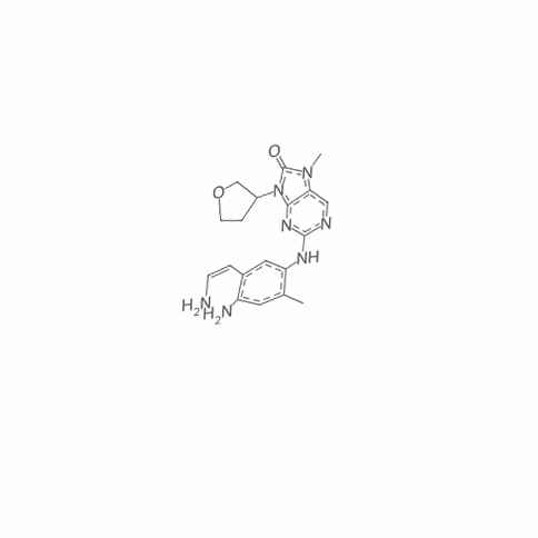 Cc1cc(N)c(/C=C\N)cc1Nc1ncc2c(n1)n(C1CCOC1)c(=O)n2C